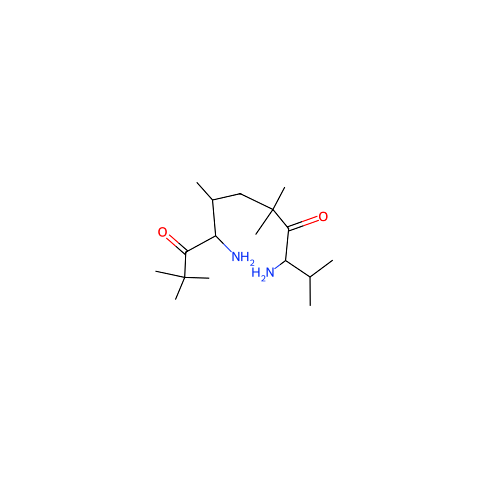 CC(C)C(N)C(=O)C(C)(C)CC(C)C(N)C(=O)C(C)(C)C